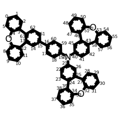 c1ccc2c(c1)Oc1ccccc1-c1cc(-c3ccc(N(c4ccc5c(c4)-c4ccccc4Oc4ccccc4-5)c4ccc5c(c4)-c4ccccc4Oc4ccccc4-5)cc3)ccc1-2